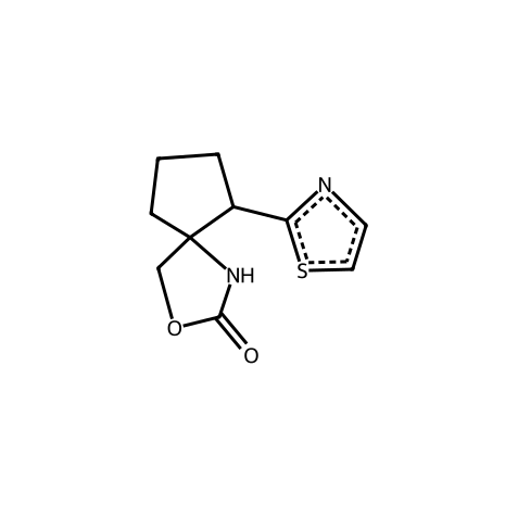 O=C1NC2(CCCC2c2nccs2)CO1